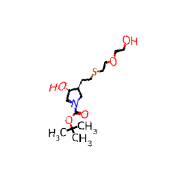 CC(C)(C)OC(=O)N1C[C@H](CCSCCOCCO)[C@@H](O)C1